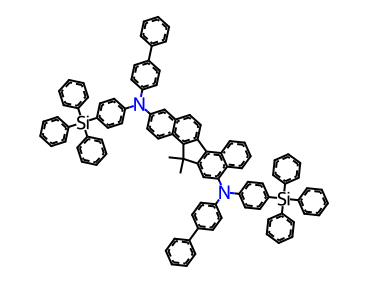 CC1(C)c2cc(N(c3ccc(-c4ccccc4)cc3)c3ccc([Si](c4ccccc4)(c4ccccc4)c4ccccc4)cc3)c3ccccc3c2-c2ccc3cc(N(c4ccc(-c5ccccc5)cc4)c4ccc([Si](c5ccccc5)(c5ccccc5)c5ccccc5)cc4)ccc3c21